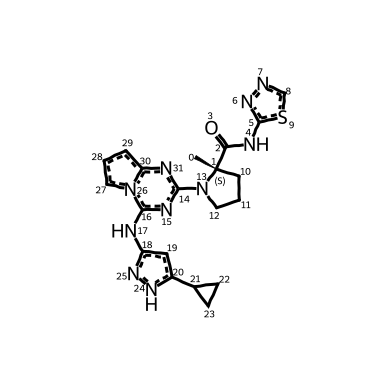 C[C@@]1(C(=O)Nc2nncs2)CCCN1c1nc(Nc2cc(C3CC3)[nH]n2)n2cccc2n1